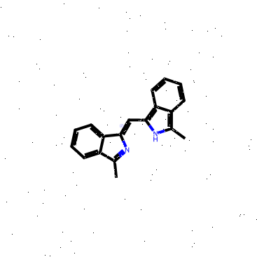 CC1=N/C(=C\c2[nH]c(C)c3ccccc23)c2ccccc21